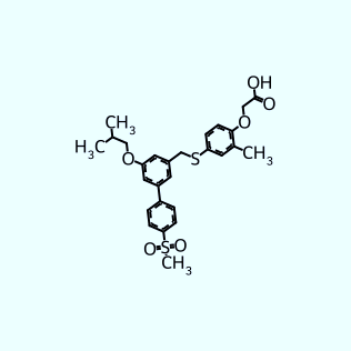 Cc1cc(SCc2cc(OCC(C)C)cc(-c3ccc(S(C)(=O)=O)cc3)c2)ccc1OCC(=O)O